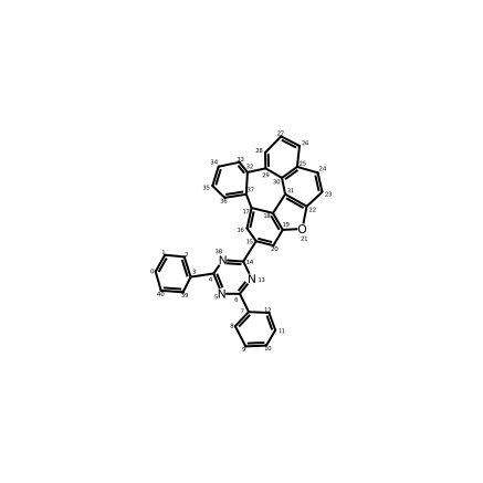 c1ccc(-c2nc(-c3ccccc3)nc(-c3cc4c5c(c3)oc3ccc6cccc(c6c35)-c3ccccc3-4)n2)cc1